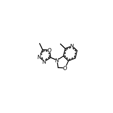 Cc1nnc(N2COc3ccnc(C)c32)o1